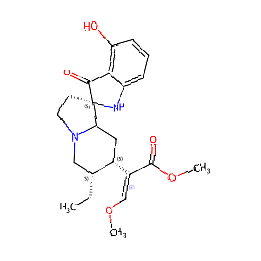 CC[C@@H]1CN2CC[C@]3(Nc4cccc(O)c4C3=O)C2C[C@@H]1/C(=C\OC)C(=O)OC